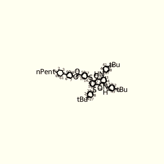 CCCCCC1CCC(c2ccc(OC(=O)c3ccc(Sc4ccc(Sc5ccc(C(C)(C)C)cc5)c5c4C(=O)c4c(Nc6ccc(C(C)(C)C)cc6)ccc(Nc6ccc(C(C)(C)C)cc6)c4C5=O)cc3)cc2)CC1